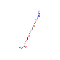 [N-]=[N+]=NCCOCCOCCOCCOCCOCCC(N)=O